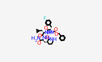 NC(=O)[C@H](C[C@@H]1CCCNC1=O)NC(=O)[C@H](CC1CC1)NC(=O)[C@H](Cc1ccc(F)cc1)NC(=O)OCc1ccccc1